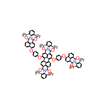 CC(C)c1cccc(C(C)C)c1N1C(=O)c2cccc3c(Oc4ccc(Oc5cc6c7c(cc(Oc8ccc(Oc9ccc%10c%11c(cccc9%11)C(=O)N(c9c(C(C)C)cccc9C(C)C)C%10=O)cc8)c8c9ccc%10c%11c(ccc(c5c78)c%119)C(=O)N(c5c(C(C)C)cccc5C(C)C)C%10=O)C(=O)N(c5c(C(C)C)cccc5C(C)C)C6=O)cc4)ccc(c23)C1=O